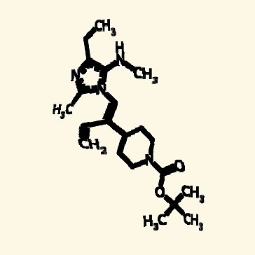 C=C/C(=C\n1c(C)nc(CC)c1NC)C1CCN(C(=O)OC(C)(C)C)CC1